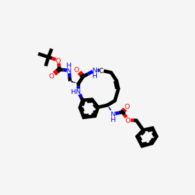 CC(C)(C)OC(=O)NC[C@H]1Nc2cccc(c2)[C@@H](NC(=O)OCc2ccccc2)CC=CCCNC1=O